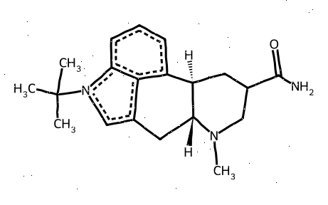 CN1CC(C(N)=O)C[C@@H]2c3cccc4c3c(cn4C(C)(C)C)C[C@H]21